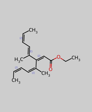 C\C=C/C=C(C)\C(=C/C(=O)OCC)C(\C)=C\C=C/C